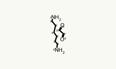 NCCCCCCN.O=CC=O